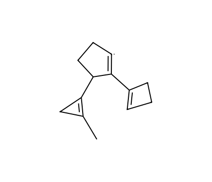 CC1=C(C2CC[C]=C2C2=CCC2)C1